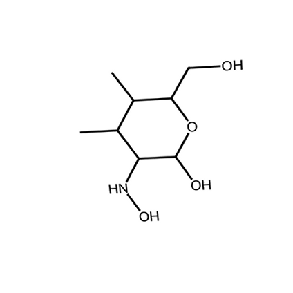 CC1C(CO)OC(O)C(NO)C1C